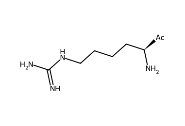 CC(=O)[C@@H](N)CCCCNC(=N)N